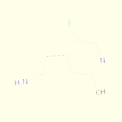 Cc1ncc(F)c2c1CC(N)C2